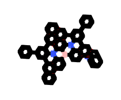 c1ccc(-c2cc(-c3ccccc3)c(N3c4cc(-c5ccccc5)ccc4B4c5ccc(N6C7CC8CC(C7)CC6C8)cc5N(c5c(-c6ccccc6)cc(-c6ccccc6)cc5-c5ccccc5)c5cc(-c6ccccc6)cc3c54)c(-c3ccccc3)c2)cc1